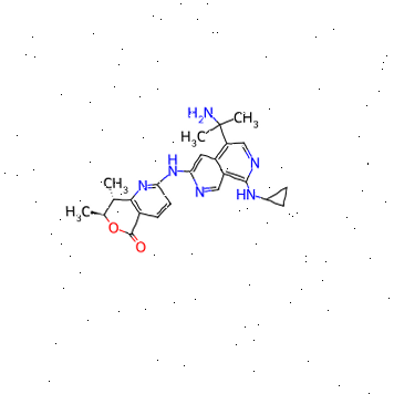 C[C@@H]1OC(=O)c2ccc(Nc3cc4c(C(C)(C)N)cnc(NC5CC5)c4cn3)nc2[C@H]1C